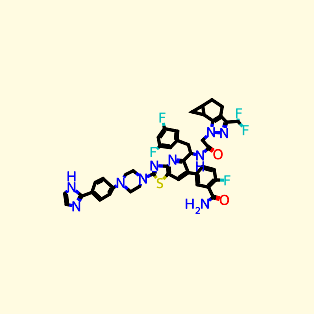 NC(=O)c1cc(-c2cc3sc(N4CCN(c5ccc(-c6ncc[nH]6)cc5)CC4)nc3nc2C(Cc2cc(F)cc(F)c2)NC(=O)Cn2nc(C(F)F)c3c2C2CC2CC3)ccc1F